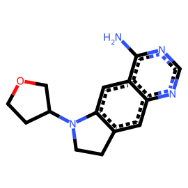 Nc1ncnc2cc3c(cc12)N(C1CCOC1)CC3